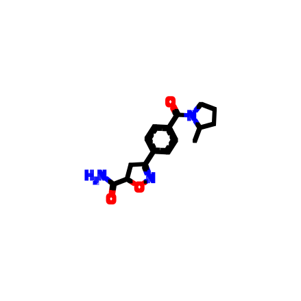 CC1CCCN1C(=O)c1ccc(C2=NOC(C(N)=O)C2)cc1